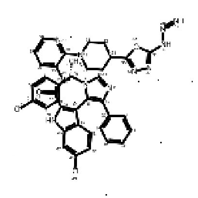 C[C@@H](c1ccc(Cl)cc1)n1cnc(-c2ccccc2)c1-c1c(C(=O)Nc2cccnc2N2CCC(c3nnc(NN=N)o3)CC2)[nH]c2cc(Cl)ccc12